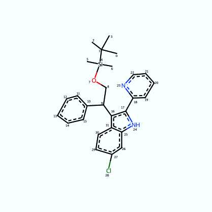 CC(C)(C)[Si](C)(C)OCC(c1ccccc1)c1c(-c2ccccn2)[nH]c2cc(Cl)ccc12